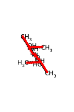 CCCCCCCCCCCCC(O)CN(CCCSSCCN1CCN(CCOC(=O)CCCN(CC(O)CCCCCCCCCCCC)CC(O)CCCCCCCCCCCC)CC1)CC(O)CCCCCCCCCCCC